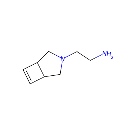 NCCN1CC2C=CC2C1